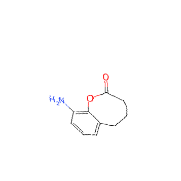 Nc1cccc2c1OC(=O)CCC2